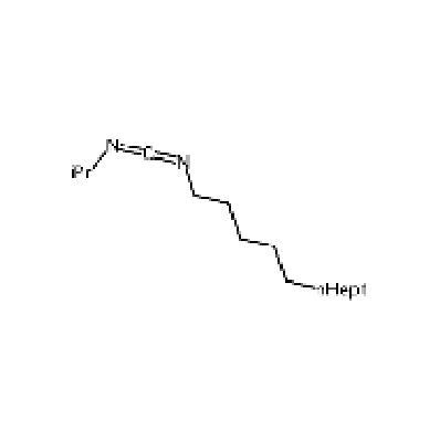 CCCCCCCCCCCCN=C=NC(C)C